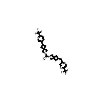 O=C(N1CC2(CC(Cc3cnc(C(F)(F)F)cn3)C2)C1)N1CC2(CC(c3ccc(C(F)(F)F)nc3)C2)C1